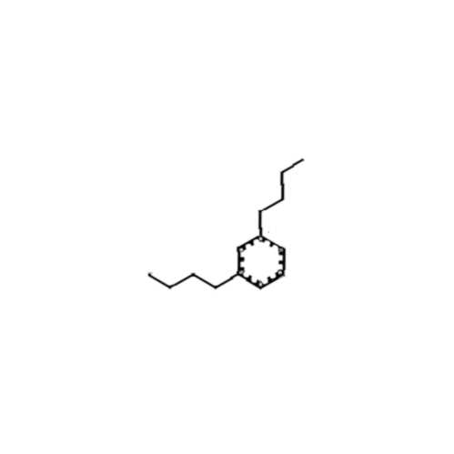 CCCCc1[c]ccc(CCCC)c1